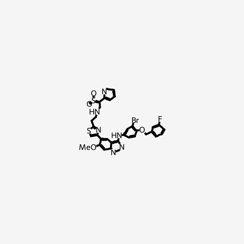 COc1cc2ncnc(Nc3ccc(OCc4cccc(F)c4)c(Br)c3)c2cc1-c1csc(CCNCC(c2ccccn2)=S(=O)=O)n1